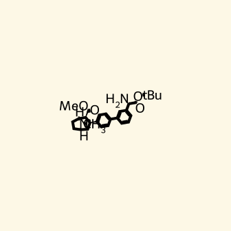 COC(=O)[C@H]1[C@@H](c2ccc(-c3cccc(C(N)C(=O)OC(C)(C)C)c3)cc2)C[C@@H]2CC[C@H]1N2C